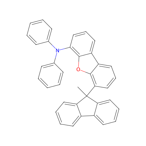 CC1(c2cccc3c2oc2c(N(c4ccccc4)c4ccccc4)cccc23)c2ccccc2-c2ccccc21